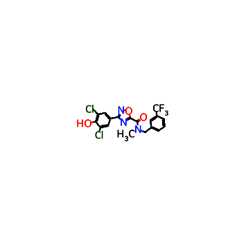 CN(Cc1cccc(C(F)(F)F)c1)C(=O)c1nc(-c2cc(Cl)c(O)c(Cl)c2)no1